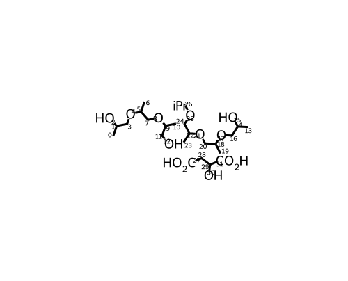 CC(O)COC(C)COC(C)CO.CC(O)COC(C)COC(C)COC(C)C.O=C(O)CC(O)C(=O)O